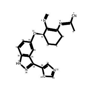 C=NC1=C(/N=C(\C)C#N)CCC[C@H]1Oc1ccc2[nH]nc(-c3cnco3)c2c1